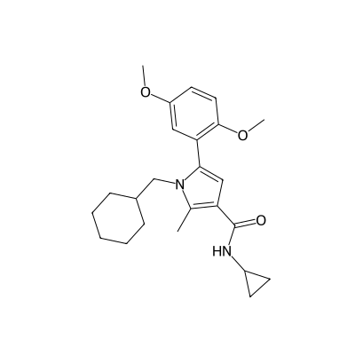 COc1ccc(OC)c(-c2cc(C(=O)NC3CC3)c(C)n2CC2CCCCC2)c1